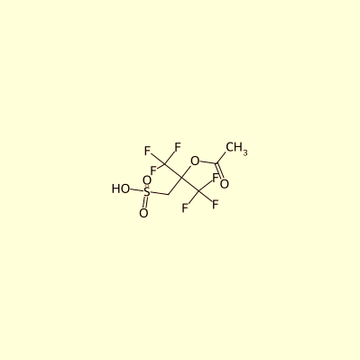 CC(=O)OC(CS(=O)(=O)O)(C(F)(F)F)C(F)(F)F